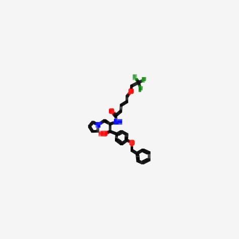 O=C(CCCCOCC(F)(F)F)N[C@H](CN1CCCC1)[C@H](O)c1ccc(OCc2ccccc2)cc1